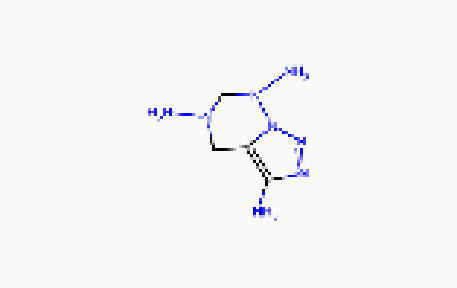 Nc1nnn2c1CN(N)CN2N